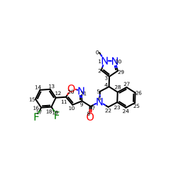 Cn1cc(C2CN(C(=O)c3cc(-c4cccc(F)c4F)on3)Cc3ccccc32)cn1